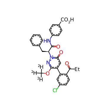 [2H]C([2H])([2H])Oc1nn([C@@H](Cc2ccccc2)C(=O)Nc2ccc(C(=O)O)cc2)c(=O)cc1-c1cc(Cl)ccc1C(=O)CC